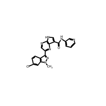 Cn1nc(-c2cnc3[nH]cc(C(=O)Nc4cccnc4)c3n2)c2ccc(Cl)cc21